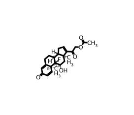 CC(=O)OCC(=O)C1=CC[C@H]2[C@@H]3CCC4=CC(=O)C=C[C@]4(C)[C@@]3(F)[C@@H](O)C[C@]12C